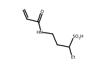 C=CC(=O)NCCC(CC)S(=O)(=O)O